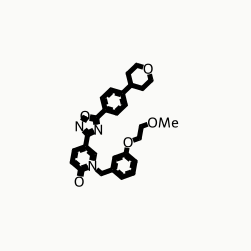 COCCOc1cccc(Cn2cc(-c3noc(-c4ccc(C5CCOCC5)cc4)n3)ccc2=O)c1